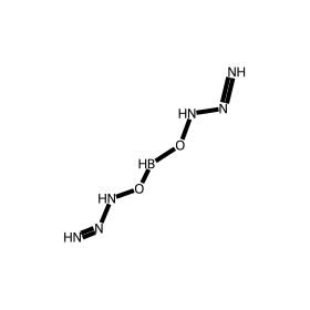 N=NNOBONN=N